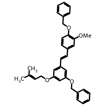 COc1cc(/C=C/c2cc(OCC=C(C)C)cc(OCc3ccccc3)c2)ccc1OCc1ccccc1